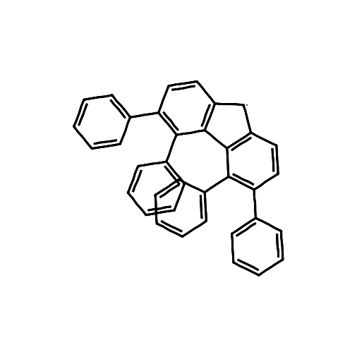 [CH]1c2ccc(-c3ccccc3)c(-c3ccccc3)c2-c2c1ccc(-c1ccccc1)c2-c1ccccc1